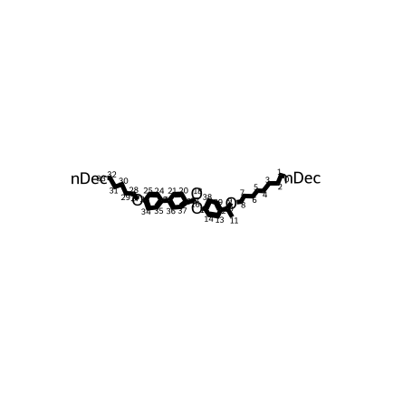 CCCCCCCCCCCCCCCCCCOC(C)c1ccc(OC(=O)c2ccc(-c3ccc(OCCCCCCCCCCCCCCC)cc3)cc2)cc1